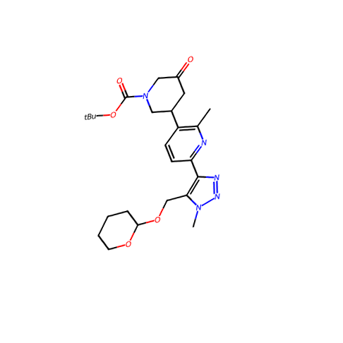 Cc1nc(-c2nnn(C)c2COC2CCCCO2)ccc1C1CC(=O)CN(C(=O)OC(C)(C)C)C1